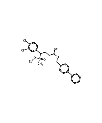 CCOP(C)(=O)C(CCN(OCc1ccc(-c2ccccc2)cc1)C(C)=O)c1ccc(Cl)c(Cl)c1